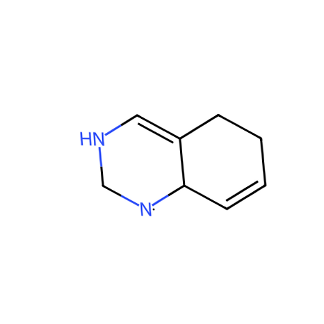 C1=CC2[N]CNC=C2CC1